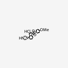 COc1ccc(S(=O)(=O)n2ccc3c(N4CCNCC4)cccc32)cc1.Cl